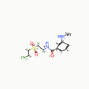 CC(C)Nc1cccc(C(=O)NCCS(=O)(=O)CCCl)c1